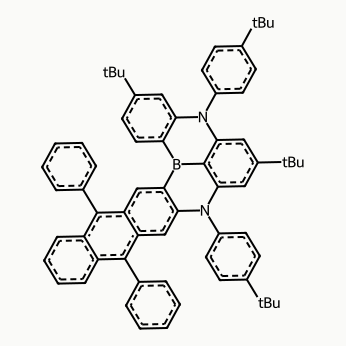 CC(C)(C)c1ccc(N2c3cc(C(C)(C)C)ccc3B3c4cc5c(-c6ccccc6)c6ccccc6c(-c6ccccc6)c5cc4N(c4ccc(C(C)(C)C)cc4)c4cc(C(C)(C)C)cc2c43)cc1